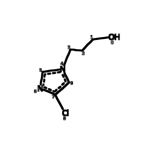 OCCCn1cnc(Cl)c1